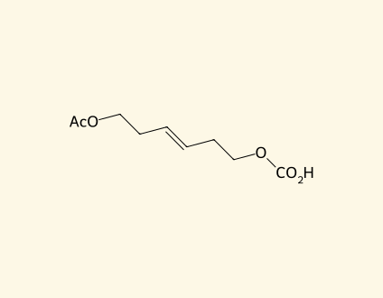 CC(=O)OCCC=CCCOC(=O)O